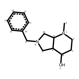 CN1CCC(O)C2CN(Cc3ccccc3)CC21